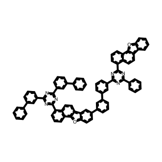 c1ccc(-c2cccc(-c3nc(-c4cccc(-c5ccccc5)c4)nc(-c4cccc5c4ccc4c6cc(-c7cccc(-c8cccc(-c9nc(-c%10ccccc%10)nc(-c%10cccc%11c%10ccc%10c%12ccccc%12oc%11%10)n9)c8)c7)ccc6oc54)n3)c2)cc1